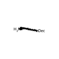 CCCCCCCCCCCCCCCCCCCCCCCCCCCCc1ccc(N)cc1